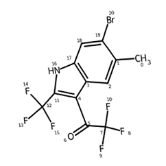 Cc1cc2c(C(=O)C(F)(F)F)c(C(F)(F)F)[nH]c2cc1Br